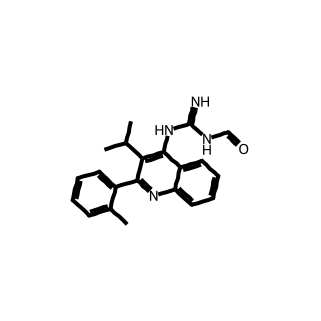 Cc1ccccc1-c1nc2ccccc2c(NC(=N)NC=O)c1C(C)C